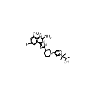 COc1cc(F)cc2c1nc(N)n1nc([C@@H]3CCCN(c4cnn(C(C)(C)[C@@H](C)O)c4)C3)nc21